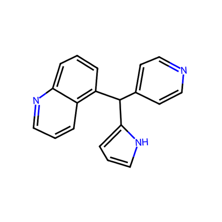 c1c[nH]c(C(c2ccncc2)c2cccc3ncccc23)c1